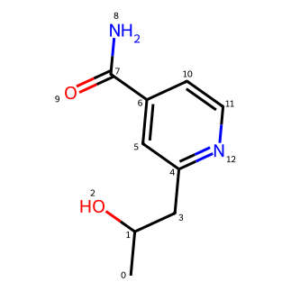 CC(O)Cc1cc(C(N)=O)ccn1